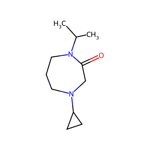 CC(C)N1CCCN(C2CC2)CC1=O